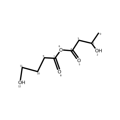 CC(O)CC(=O)OC(=O)CCCO